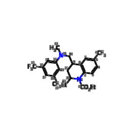 CCOC(=O)N1c2ccc(C(F)(F)F)cc2C(CN(C)c2cc(C(F)(F)F)cc(C(F)(F)F)c2)CC1CC